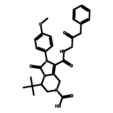 COc1ccc(-n2c(C(=O)NCC(=O)Cc3ccccc3)c3n(c2=O)C(C(C)(C)C)CN(C(=O)O)C3)cc1